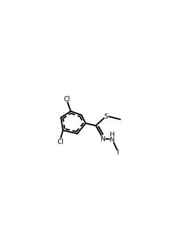 CSC(=NNI)c1cc(Cl)cc(Cl)c1